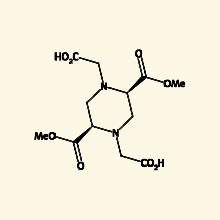 COC(=O)[C@H]1CN(CC(=O)O)[C@@H](C(=O)OC)CN1CC(=O)O